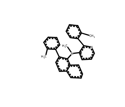 Cc1ccccc1-c1ccc2ccccc2c1N(C)c1cccnc1-c1ccccc1C